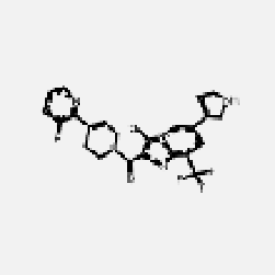 O=C(c1nc2c(C(F)(F)F)cc(C3=CCNC3)cn2c1Cl)N1CC=C(c2ncccc2F)CC1